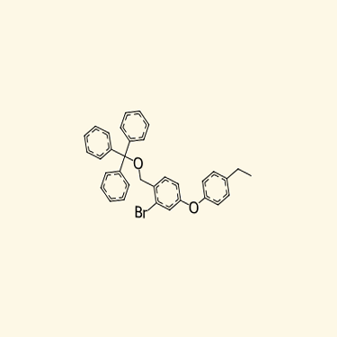 CCc1ccc(Oc2ccc(COC(c3ccccc3)(c3ccccc3)c3ccccc3)c(Br)c2)cc1